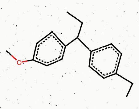 CCc1ccc(C(CC)c2ccc(OC)cc2)cc1